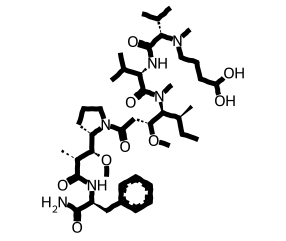 CC[C@H](C)[C@@H]([C@@H](CC(=O)N1CCC[C@H]1[C@H](OC)[C@@H](C)C(=O)N[C@@H](Cc1ccccc1)C(N)=O)OC)N(C)C(=O)[C@@H](NC(=O)[C@H](C(C)C)N(C)CCCC(O)O)C(C)C